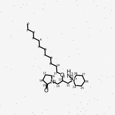 CCCCCCCCCCCCOC(CN1CCCC1=O)C[N+]1(N)CCCCC1